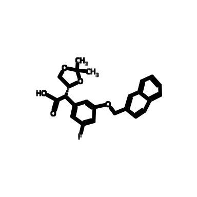 CC1(C)OC[C@@H](C(C(=O)O)c2cc(F)cc(OCc3ccc4ccccc4c3)c2)O1